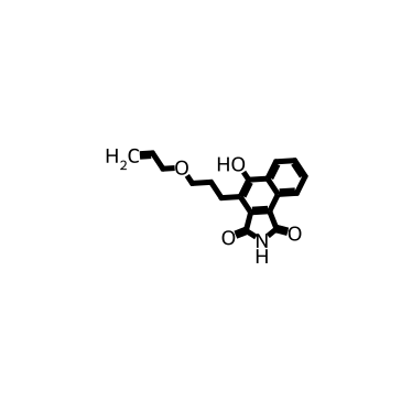 C=CCOCCCc1c2c(c3ccccc3c1O)C(=O)NC2=O